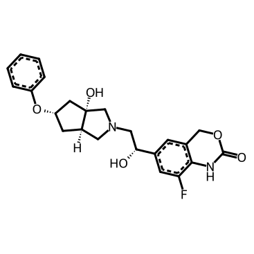 O=C1Nc2c(F)cc([C@H](O)CN3C[C@H]4C[C@H](Oc5ccccc5)C[C@@]4(O)C3)cc2CO1